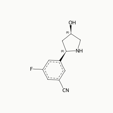 N#Cc1cc(F)cc([C@H]2C[C@@H](O)CN2)c1